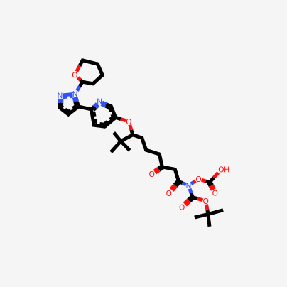 CC(C)(C)OC(=O)N(OC(=O)O)C(=O)CC(=O)CCCC(Oc1ccc(-c2ccnn2C2CCCCO2)nc1)C(C)(C)C